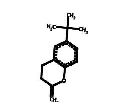 C=C1CCc2cc(C(C)(C)C)ccc2O1